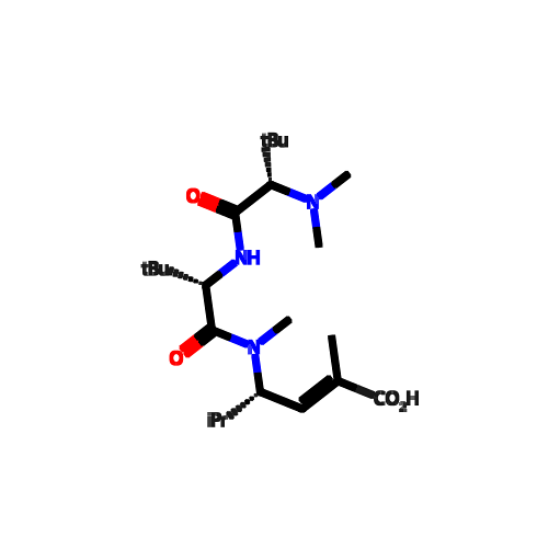 C/C(=C\[C@H](C(C)C)N(C)C(=O)[C@@H](NC(=O)[C@@H](N(C)C)C(C)(C)C)C(C)(C)C)C(=O)O